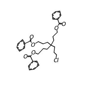 O=C(OCCCC(CCCCl)(CCCOC(=O)c1ccccc1)CCCOC(=O)c1ccccc1)c1ccccc1